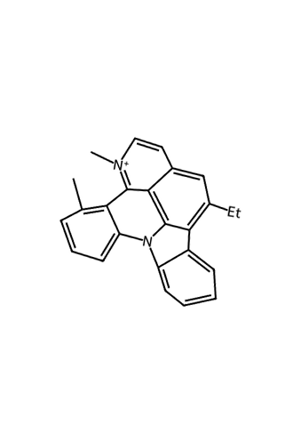 CCc1cc2cc[n+](C)c3c4c(C)cccc4n4c5ccccc5c1c4c23